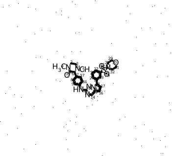 CN1CCN(C)C(c2ccc(Nc3ncc4ccc(-c5cccc(S(=O)(=O)N6CCOCC6)c5)n4n3)cc2)C1=O